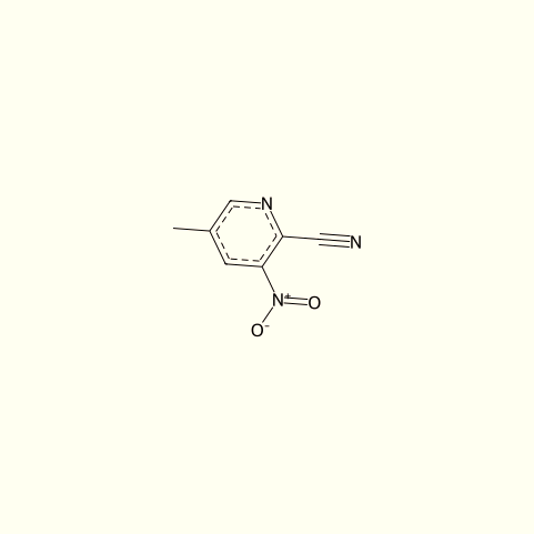 Cc1cnc(C#N)c([N+](=O)[O-])c1